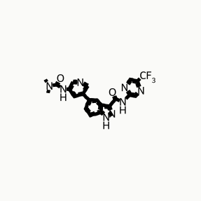 CN(C)C(=O)Nc1cncc(-c2ccc3[nH]nc(C(=O)Nc4cnc(C(F)(F)F)cn4)c3c2)c1